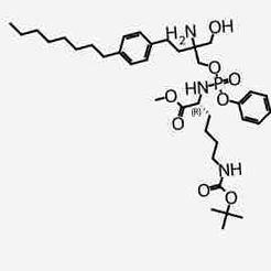 CCCCCCCCc1ccc(CCC(N)(CO)COP(=O)(N[C@H](CCCCNC(=O)OC(C)(C)C)C(=O)OC)Oc2ccccc2)cc1